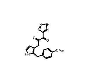 COc1ccc(Cc2[nH]ccc2CC(=O)C(=O)c2nn[nH]n2)cc1